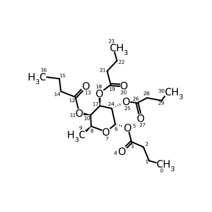 CCCC(=O)O[C@@H]1O[C@@H](C)[C@@H](OC(=O)CCC)[C@@H](OC(=O)CCC)[C@@H]1OC(=O)CCC